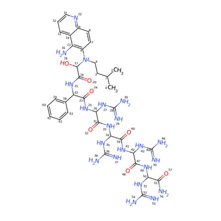 CC(C)CCN(c1ccc2ncccc2c1N)C(O)C(=O)NC(C(=O)NC(NC(=N)N)C(=O)NC(NC(=N)N)C(=O)NC(NC(=N)N)C(=O)NC(NC(=N)N)C(N)=O)c1ccccc1